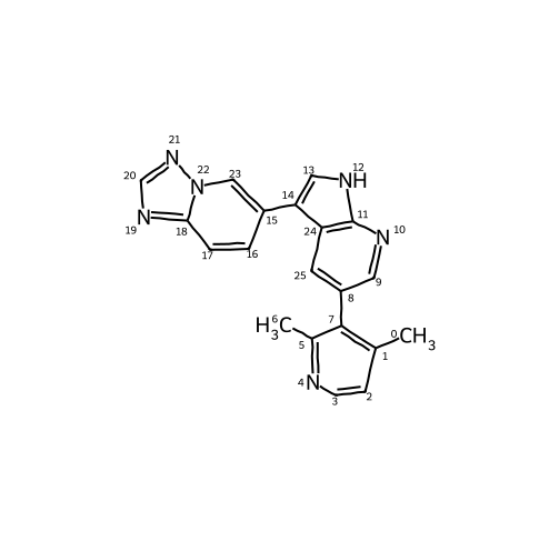 Cc1ccnc(C)c1-c1cnc2[nH]cc(-c3ccc4ncnn4c3)c2c1